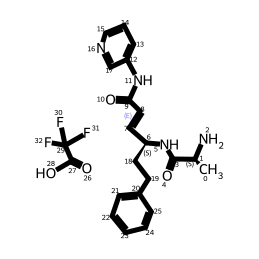 C[C@H](N)C(=O)N[C@H](/C=C/C(=O)Nc1cccnc1)CCc1ccccc1.O=C(O)C(F)(F)F